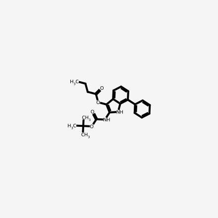 CCCC(=O)Oc1c(NC(=O)OC(C)(C)C)[nH]c2c(-c3ccccc3)cccc12